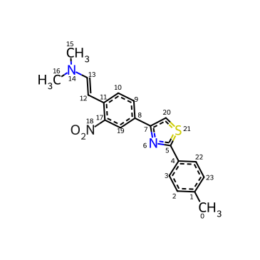 Cc1ccc(-c2nc(-c3ccc(C=CN(C)C)c([N+](=O)[O-])c3)cs2)cc1